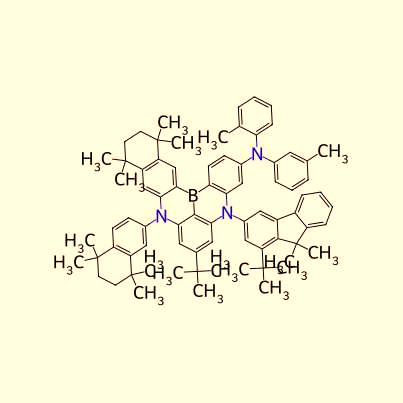 Cc1cccc(N(c2ccc3c(c2)N(c2cc4c(c(C(C)(C)C)c2)C(C)(C)c2ccccc2-4)c2cc(C(C)(C)C)cc4c2B3c2cc3c(cc2N4c2ccc4c(c2)C(C)(C)CCC4(C)C)C(C)(C)CCC3(C)C)c2ccccc2C)c1